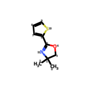 CC1(C)COC(c2cccs2)=N1